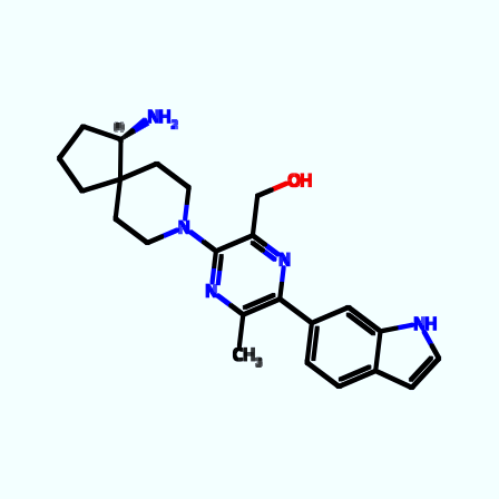 Cc1nc(N2CCC3(CCC[C@H]3N)CC2)c(CO)nc1-c1ccc2cc[nH]c2c1